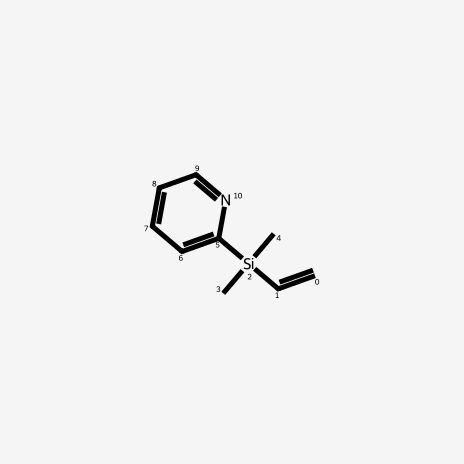 C=C[Si](C)(C)c1ccccn1